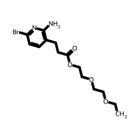 CCOCCOCCOC(=O)CCc1ccc(Br)nc1N